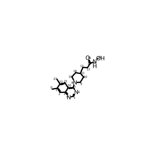 Cc1cc2ncnc(N3CCC(CCC(=O)NO)CC3)c2cc1C